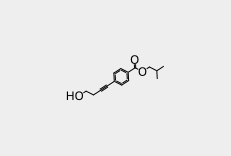 CC(C)COC(=O)c1ccc(C#CCCO)cc1